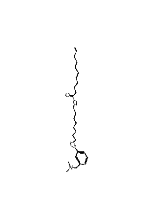 CCCCCCCCCCC(=O)OCCCCCCCCOc1cccc(CN(C)C)c1